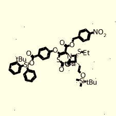 CCS[C@@H]1[C@H](CCO[Si](C)(C)C(C)(C)C)C(=O)N1C(C(=O)OCc1ccc([N+](=O)[O-])cc1)=C(Oc1ccc(C(=O)O[Si](c2ccccc2)(c2ccccc2)C(C)(C)C)cc1)SC(=O)C(C)(C)C